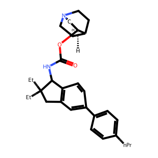 CCCc1ccc(-c2ccc3c(c2)CC(CC)(CC)C3NC(=O)O[C@H]2CN3CCC2CC3)cc1